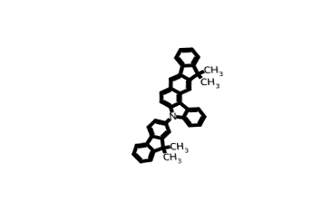 CC1(C)c2ccccc2-c2ccc(-n3c4ccccc4c4c5cc6c(cc5ccc43)-c3ccccc3C6(C)C)cc21